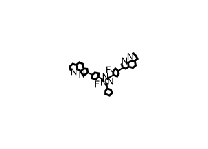 Fc1cc(-c2cnc3c(ccc4cccnc43)c2)ccc1-c1nc(-c2ccccc2)nc(-c2ccc(-c3cnc4c(ccc5cccnc54)c3)cc2F)n1